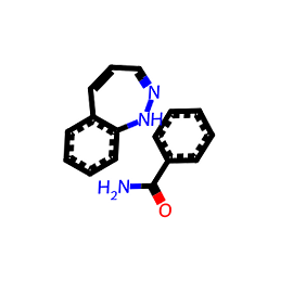 C1=Cc2ccccc2NN=C1.NC(=O)c1ccccc1